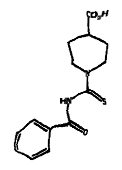 O=C(NC(=S)N1CCC(C(=O)O)CC1)c1ccccc1